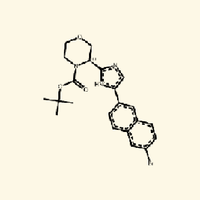 CC(C)(C)OC(=O)N1CCOC[C@H]1c1ncc(-c2ccc3cc(Br)ccc3c2)[nH]1